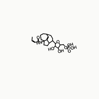 C/C=C\C(=O)NC12CCCC3C=C1C(CC2)C(C1OC(COP(=O)(O)O)C(O)C1O)CC3